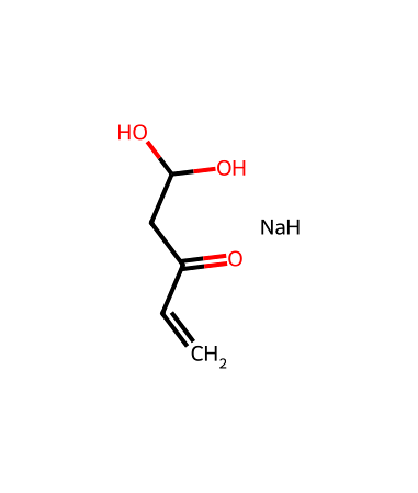 C=CC(=O)CC(O)O.[NaH]